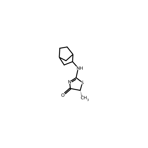 C[C@H]1SC(NC2CC3CCC2C3)=NC1=O